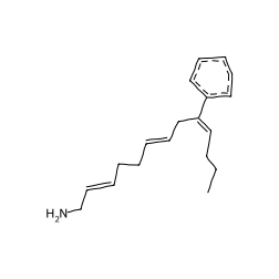 CCCC=C(CC=CCCC=CCN)c1ccccc1